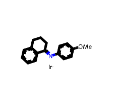 COc1ccc(N=C2CCCc3ccccc32)cc1.[Ir]